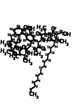 CCCCCCCCCCCCCCCC(=O)N(C)[C@H](CO)C(=O)N[C@H](C)C(=O)NCC(=O)N(C)[C@H](C(=O)N[C@@H](C)C(C)=O)c1ccc(O)c(-c2cc(C[C@H](C)C(=O)NS(C)(=O)=O)ccc2O)c1